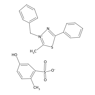 Cc1ccc(O)cc1S(=O)(=O)[O-].Cc1sc(-c2ccccc2)n[n+]1Cc1ccccc1